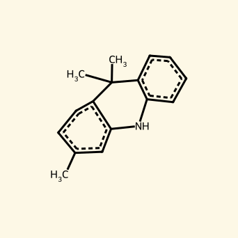 Cc1ccc2c(c1)Nc1ccccc1C2(C)C